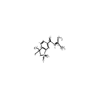 CC1(Cl)CS(=O)(=O)c2cc(C(=O)N=C(N)N)ccc21